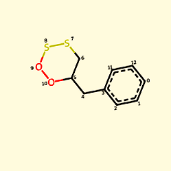 c1ccc(CC2CSSOO2)cc1